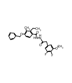 CCc1c(C(=O)NNC(=O)Cc2cc(F)c(F)c(OC)c2)ccc(OCc2ccccc2)c1C